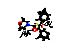 COC(SC(OC)(C(=O)c1ccccc1)c1ccccc1)N1CCOCC1